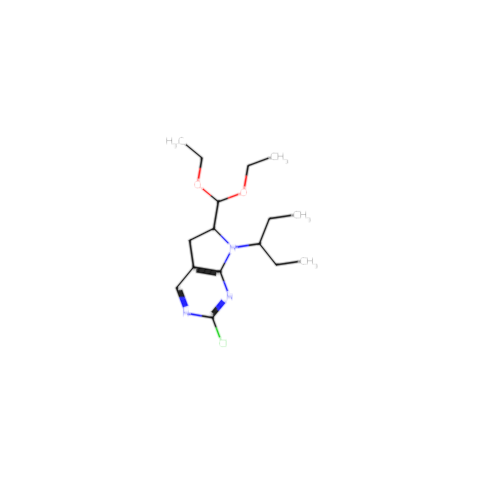 CCOC(OCC)C1Cc2cnc(Cl)nc2N1C(CC)CC